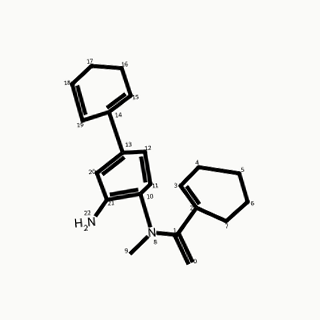 C=C(C1=CCCCC1)N(C)c1ccc(C2=CCCC=C2)cc1N